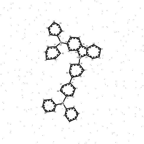 c1ccc(N(c2ccccc2)c2ccc(-c3ccc(-n4c5ccccc5c5ccc(N(c6ccccc6)c6ccccc6)cc54)cc3)cc2)cc1